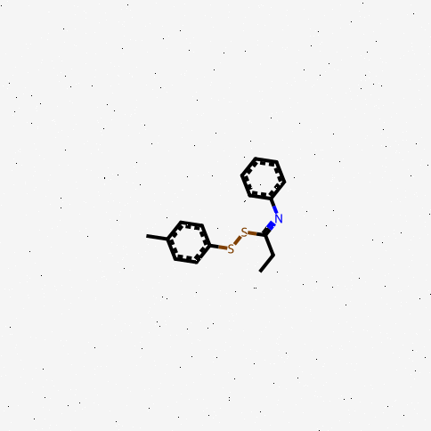 CCC(=Nc1ccccc1)SSc1ccc(C)cc1